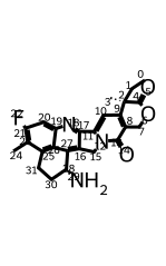 CC[C@@]1(C)C(=O)OCc2c1cc1n(c2=O)Cc2c-1nc1cc(F)c(C)c3c1c2[C@@H](N)CC3